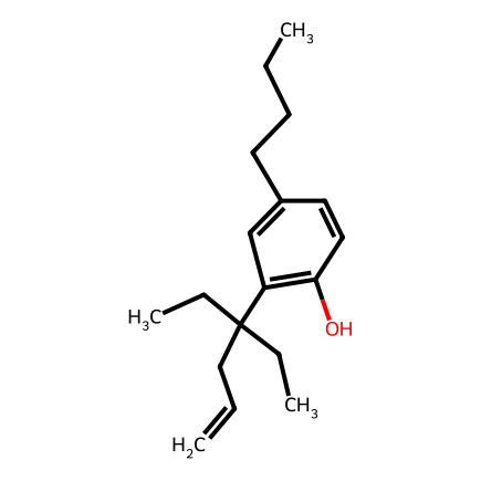 C=CCC(CC)(CC)c1cc(CCCC)ccc1O